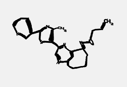 C=CCO/N=C1\CCCc2ncc(-c3sc(-c4cccnc4)nc3C)nc21